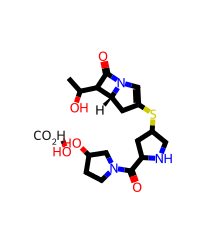 CC(O)C1C(=O)N2C=C(SC3CNC(C(=O)N4CCC(O)C4)C3)C[C@H]12.O=C(O)O